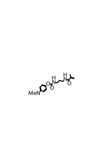 C=C(C)C(=O)NCCCNC(=O)Oc1ccc(NC)cc1